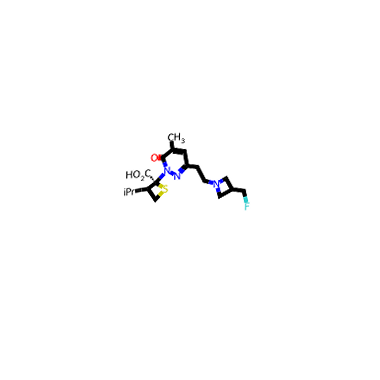 Cc1cc(CCN2CC(CF)C2)nn([C@@]2(C(=O)O)SCC2C(C)C)c1=O